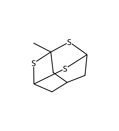 CC12CC3CC(SC(C3)S1)S2